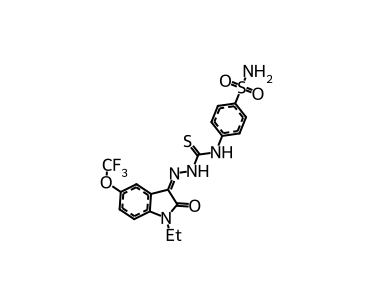 CCN1C(=O)C(=NNC(=S)Nc2ccc(S(N)(=O)=O)cc2)c2cc(OC(F)(F)F)ccc21